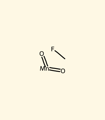 CF.[O]=[Mn]=[O]